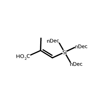 CCCCCCCCCC[Si](C=C(C)C(=O)O)(CCCCCCCCCC)CCCCCCCCCC